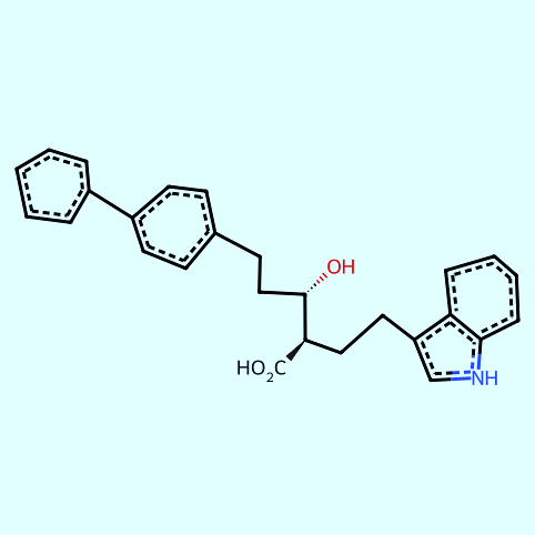 O=C(O)[C@H](CCc1c[nH]c2ccccc12)[C@@H](O)CCc1ccc(-c2ccccc2)cc1